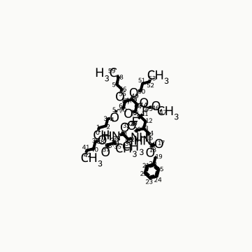 CCCCOC[C@H]1O[C@H](C(F)(F)CC(CNC(=O)OCc2ccccc2)C(=O)N[C@@H](C)C(=O)N[C@@H](C)C(=O)OCCCC)[C@@H](OCOC)[C@@H](OCCCC)[C@H]1OCCCC